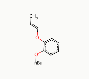 CC=COc1ccccc1OCCCC